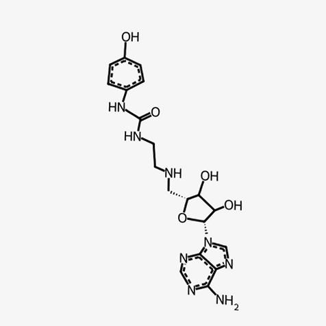 Nc1ncnc2c1ncn2[C@@H]1O[C@H](CNCCNC(=O)Nc2ccc(O)cc2)C(O)C1O